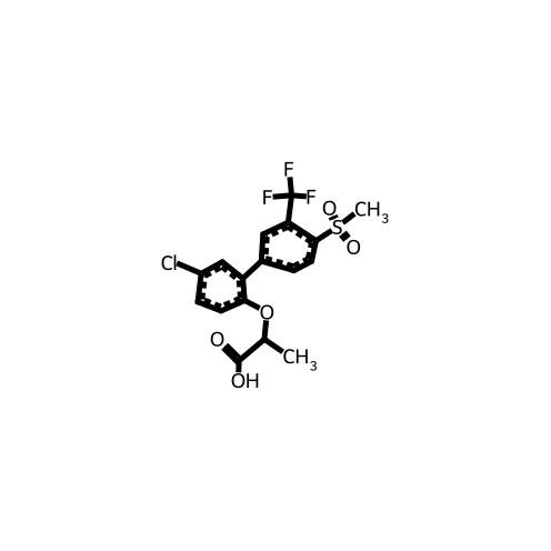 CC(Oc1ccc(Cl)cc1-c1ccc(S(C)(=O)=O)c(C(F)(F)F)c1)C(=O)O